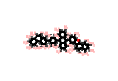 Bc1c(B)c(-c2c3c(B)c(B)c(B)c(B)c3c(-c3c(B)c(B)c4oc5c6c(B)c(B)c(B)c(B)c6c(B)c(B)c5c4c3B)c3c(B)c(B)c(B)c(B)c23)c(B)c(B)c1-c1c(B)c(B)c2c(c1B)c(B)c(B)c1c(B)c(B)c(B)c(B)c12